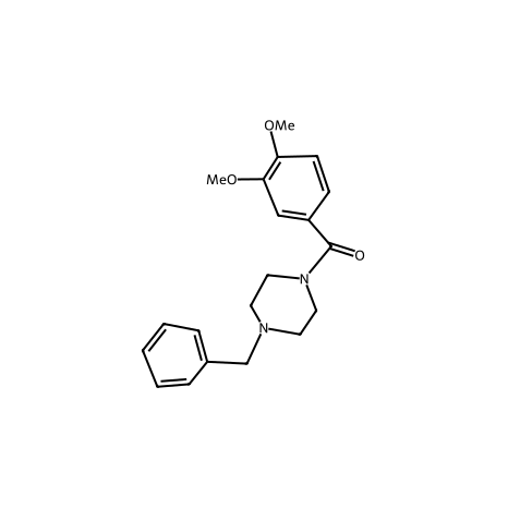 COc1ccc(C(=O)N2CCN(Cc3ccccc3)CC2)cc1OC